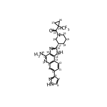 Nc1nc2cc(-c3cc[nH]n3)ccc2c2[nH]c([C@@H]3CCCN(C(=O)C4(C(F)(F)F)CC4)C3)nc12